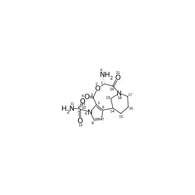 N[C@H]1OC(=O)c2c(ccn2S(N)(=O)=O)C2CCCN(C2)C1=O